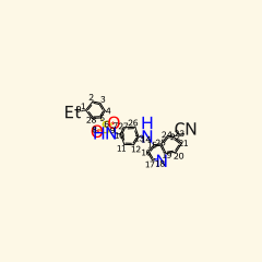 CCc1cccc(S(=O)(=O)Nc2ccc(Nc3ccnc4ccc(C#N)cc34)cc2)c1